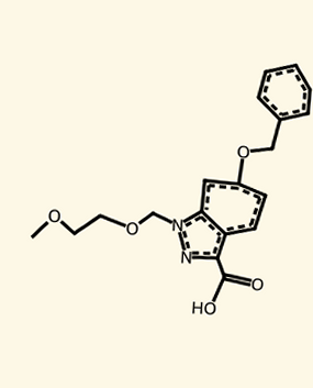 COCCOCn1nc(C(=O)O)c2ccc(OCc3ccccc3)cc21